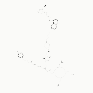 C#C[C@H]1CC(F)(F)CN1C(=O)CNC(=O)c1ccnc2ccc(OCCCCC3CCN(C(=O)CN4C(=O)CC(SCC(CCCCNC(=O)CCCc5ccc(I)cc5)NC(=O)CN5CCN(COC=O)CCN(COC=O)CCN(CC(=O)O)CC5)C4=O)CC3)cc12